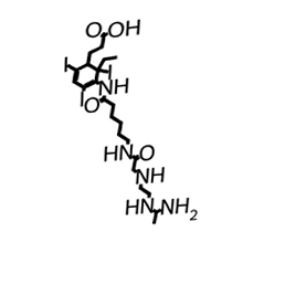 CCC1(I)C(NC(=O)CCCCCNC(=O)CNCCNC(C)N)=C(I)C=C(I)C1CCC(=O)O